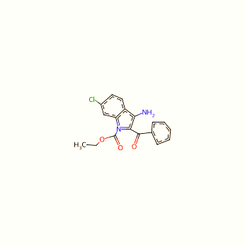 CCOC(=O)n1c(C(=O)c2ccccc2)c(N)c2ccc(Cl)cc21